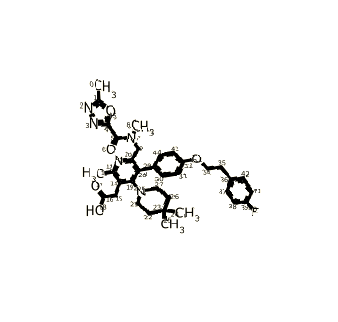 Cc1nnc(C(=O)N(C)Cc2nc(C)c(CC(=O)O)c(N3CCC(C)(C)CC3)c2-c2ccc(OCCc3ccc(F)cc3)cc2)o1